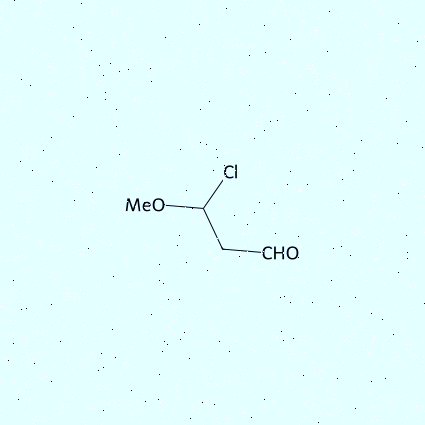 COC(Cl)CC=O